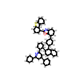 c1ccc(-c2cc(-c3ccccc3)nc(-c3ccccc3-c3ccc4ccccc4c3-c3ccc(-c4cccc5nc(-c6cccc7sc8ccccc8c67)oc45)cc3)c2)cc1